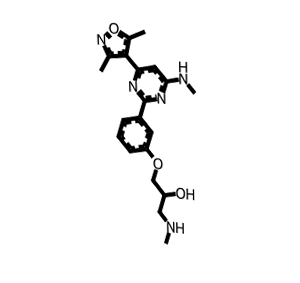 CNCC(O)COc1cccc(-c2nc(NC)cc(-c3c(C)noc3C)n2)c1